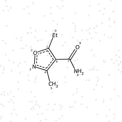 CCc1onc(C)c1C(N)=O